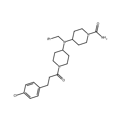 CC(C)CN(C1CCN(C(N)=O)CC1)C1CCN(C(=O)[CH]Cc2ccc(Cl)cc2)CC1